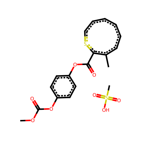 COC(=O)Oc1ccc(OC(=O)c2sccccccc2C)cc1.CS(=O)(=O)O